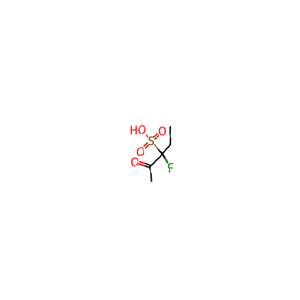 CCC(F)(C(C)=O)S(=O)(=O)O